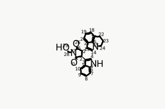 O=C1[C@H](c2c[nH]c3ccccc23)[C@@H](c2cn3c4c(cccc24)CCC3)C(=O)N1CO